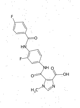 Cn1cnc(C(=O)O)c1C(=O)Nc1ccc(NC(=O)c2ccc(F)cc2)c(F)c1